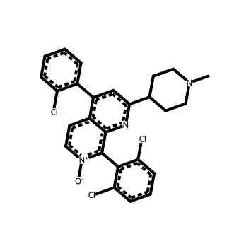 CN1CCC(c2cc(-c3ccccc3Cl)c3cc[n+]([O-])c(-c4c(Cl)cccc4Cl)c3n2)CC1